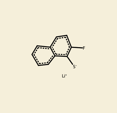 Fc1ccc2ccccc2c1[S-].[Li+]